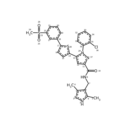 Cc1n[nH]c(C)c1CNC(=O)c1cc(-c2ccc(-c3cccc(S(C)(=O)=O)c3)s2)n(-c2ccccc2Cl)n1